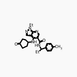 CCC(NC(=O)c1cnc2c(cnn2CC)c1NC1CCC(=O)CC1)c1ccc(C)cc1